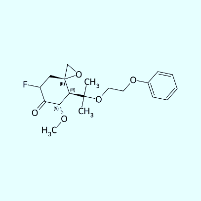 CO[C@@H]1C(=O)C(F)C[C@]2(CO2)[C@H]1C(C)(C)OCCOc1ccccc1